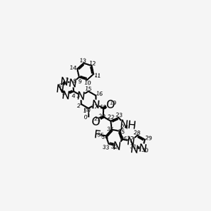 C[C@H]1CN(c2nnnn2-c2ccccc2)CCN1C(=O)C(=O)c1c[nH]c2c(-n3ccnn3)ncc(F)c12